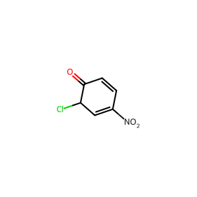 O=C1C=CC([N+](=O)[O-])=CC1Cl